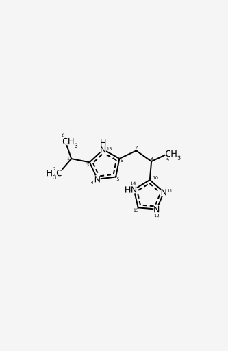 CC(C)c1ncc(CC(C)c2nnc[nH]2)[nH]1